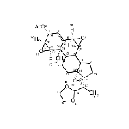 CC(=O)O[C@@H]1C=C2[C@H]3O[C@H]3C3C4CC[C@H](C(C)C5OCCO5)[C@@]4(C)CCC3[C@@]2(C)[C@H]2O[C@@H]12